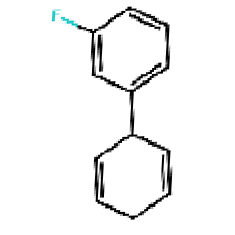 Fc1cccc(C2C=CCC=C2)c1